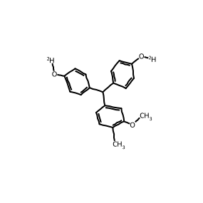 [2H]Oc1ccc(C(c2ccc(O[2H])cc2)c2ccc(C)c(OC)c2)cc1